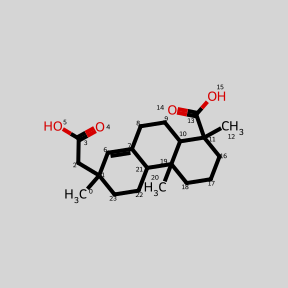 CC1(CC(=O)O)C=C2CCC3C(C)(C(=O)O)CCCC3(C)C2CC1